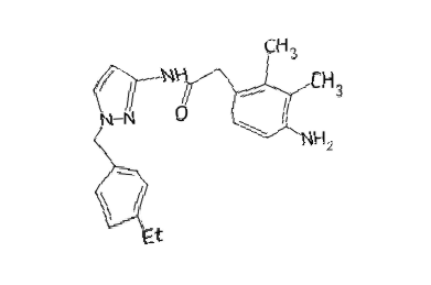 CCc1ccc(Cn2ccc(NC(=O)Cc3ccc(N)c(C)c3C)n2)cc1